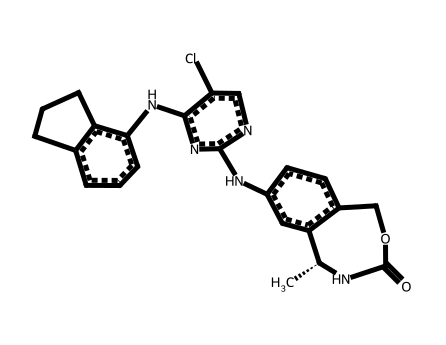 C[C@H]1NC(=O)OCc2ccc(Nc3ncc(Cl)c(Nc4cccc5c4CCC5)n3)cc21